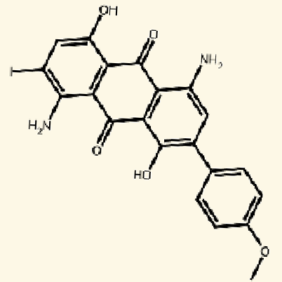 COc1ccc(-c2cc(N)c3c(c2O)C(=O)c2c(N)c(I)cc(O)c2C3=O)cc1